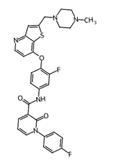 CN1CCN(Cc2cc3nccc(Oc4ccc(NC(=O)c5cccn(-c6ccc(F)cc6)c5=O)cc4F)c3s2)CC1